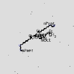 CCCCC/C=C\C/C=C\CCCCCCCC(=O)OCC(COC(=O)CCCCCCC/C=C\C/C=C\CCCCC)OC(O)CC(CCCCCCCC)OC(=O)NCCN(C)CC